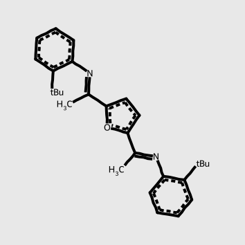 C/C(=N\c1ccccc1C(C)(C)C)c1ccc(/C(C)=N/c2ccccc2C(C)(C)C)o1